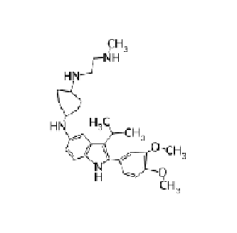 CNCCNC1CCC(Nc2ccc3[nH]c(-c4ccc(OC)c(OC)c4)c(C(C)C)c3c2)CC1